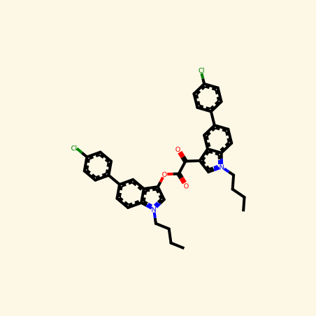 CCCCn1cc(OC(=O)C(=O)c2cn(CCCC)c3ccc(-c4ccc(Cl)cc4)cc23)c2cc(-c3ccc(Cl)cc3)ccc21